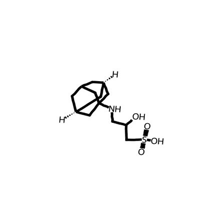 O=S(=O)(O)CC(O)CNC12CC3C[C@H](C1)C[C@@H](C3)C2